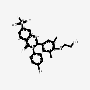 CCC(C)c1ccc(-n2c(-c3cc(C)c(OCCO)c(C)c3)nc3cc(S(C)(=O)=O)ccc3c2=O)cc1